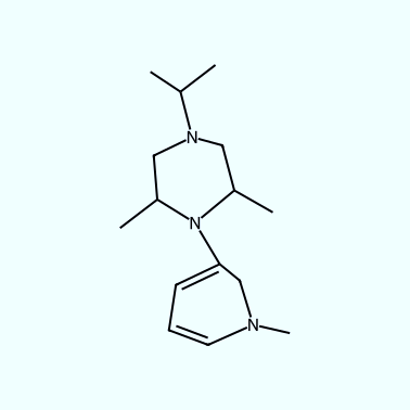 CC(C)N1CC(C)N(C2=CC=CN(C)C2)C(C)C1